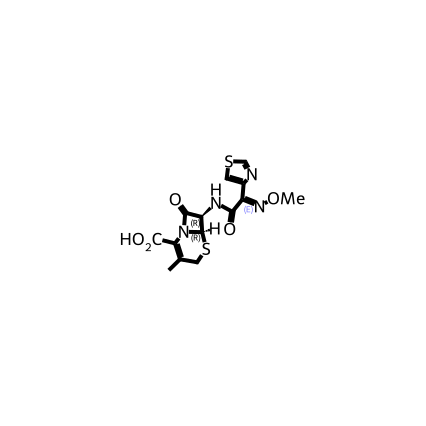 CO/N=C(/C(=O)N[C@@H]1C(=O)N2C(C(=O)O)=C(C)CS[C@H]12)c1cscn1